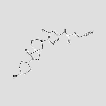 C#CCOC(=O)Nc1cnc(N2CCC[C@@]3(CCN([C@H]4CC[C@@H](O)CC4)C3=O)C2)c(Cl)c1